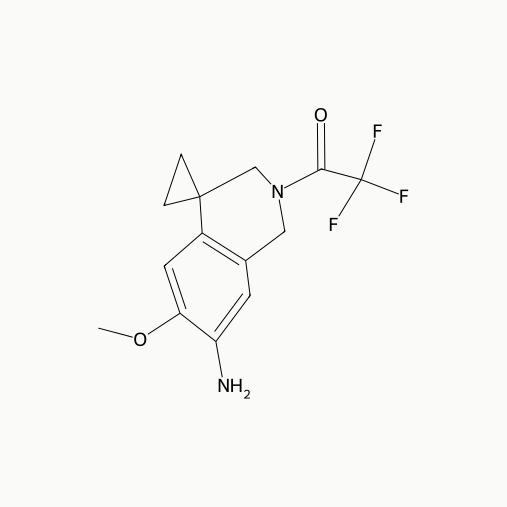 COc1cc2c(cc1N)CN(C(=O)C(F)(F)F)CC21CC1